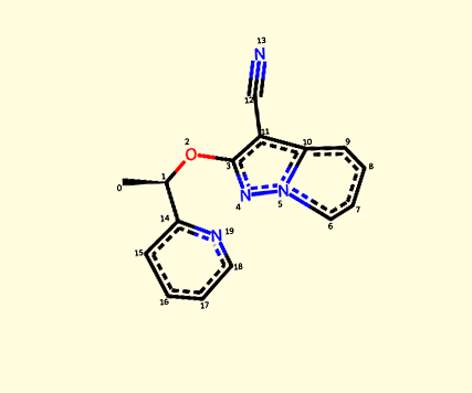 C[C@@H](Oc1nn2ccccc2c1C#N)c1ccccn1